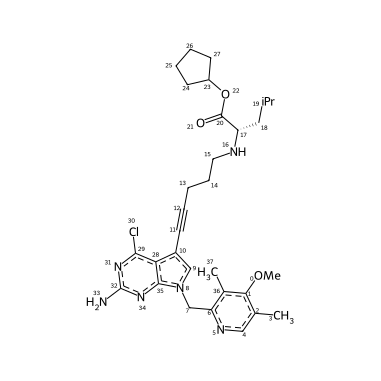 COc1c(C)cnc(Cn2cc(C#CCCCN[C@@H](CC(C)C)C(=O)OC3CCCC3)c3c(Cl)nc(N)nc32)c1C